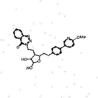 COc1ccc(-c2ccc(CCC3OC(O)C(O)C3CCn3nnc4ccccc4c3=O)cc2)cn1